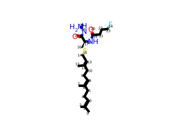 CC(C)=CCC/C(C)=C/CC/C(C)=C/CSC[C@H](NC(=O)CCCF)C(=O)NN